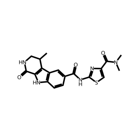 CC1CNC(=O)c2[nH]c3ccc(C(=O)Nc4nc(C(=O)N(C)C)cs4)cc3c21